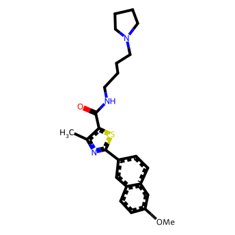 COc1ccc2cc(-c3nc(C)c(C(=O)NCCCCN4CCCC4)s3)ccc2c1